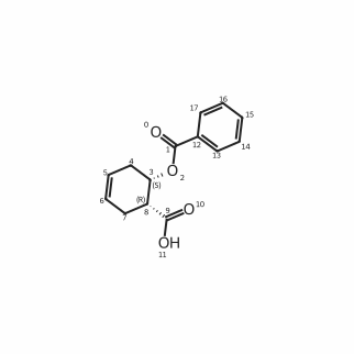 O=C(O[C@H]1CC=CC[C@H]1C(=O)O)c1ccccc1